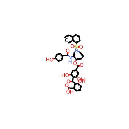 O=C(NC1=CN(S(=O)(=O)c2cccc3ccccc23)C=CC=C1OC(=O)c1cc(O)c(C(=O)c2c(O)cccc2C(=O)O)c(O)c1)c1ccc(O)cc1